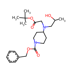 CC(O)CN(CC(=O)OC(C)(C)C)C1CCN(C(=O)OCc2ccccc2)CC1